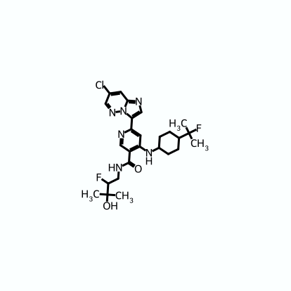 CC(C)(O)C(F)CNC(=O)c1cnc(-c2cnc3cc(Cl)cnn23)cc1NC1CCC(C(C)(C)F)CC1